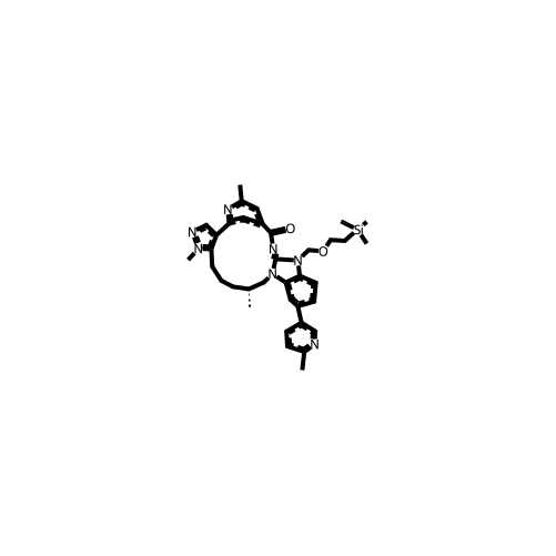 Cc1ccc(-c2ccc3c(c2)N2C[C@H](C)CCCc4c(cnn4C)-c4cc(cc(C)n4)C(=O)/N=C/2N3COCC[Si](C)(C)C)cn1